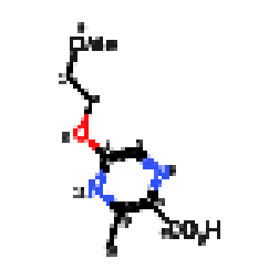 COCCOc1cnc(C(=O)O)c(C)n1